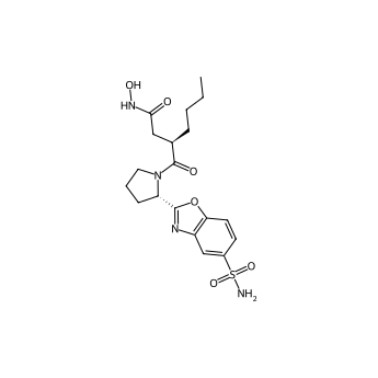 CCCC[C@H](CC(=O)NO)C(=O)N1CCC[C@H]1c1nc2cc(S(N)(=O)=O)ccc2o1